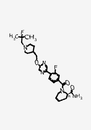 CC(C)(F)CN1CCC(COc2cnc(-c3ccc(C(=O)N4CCCC[C@@H]4C(N)=O)cc3F)cn2)CC1